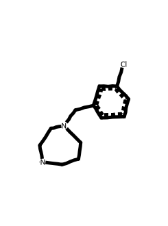 Clc1cccc(CN2CCC[N]CC2)c1